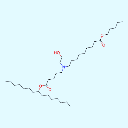 CCCCCCCC(CCCCCCC)OC(=O)CCCCN(CCO)CCCCCCCCC(=O)OCCCCC